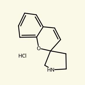 C1=CC2(CCNC2)Oc2ccccc21.Cl